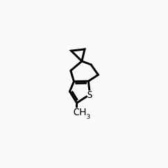 Cc1cc2c(s1)CCC1(CC1)C2